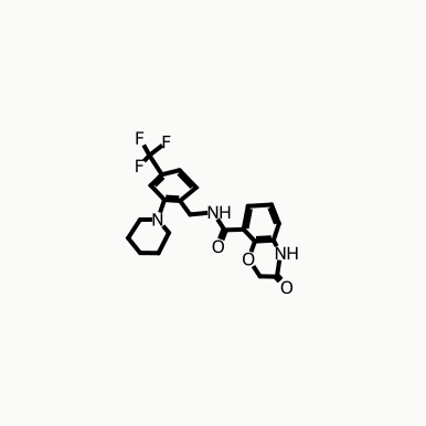 O=C1COc2c(cccc2C(=O)NCc2ccc(C(F)(F)F)cc2N2CCCCC2)N1